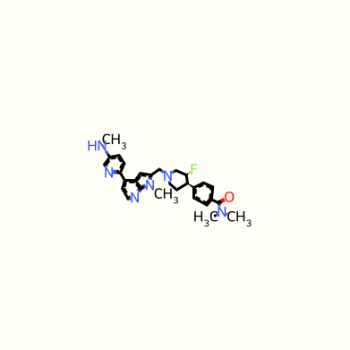 CNc1ccc(-c2ccnc3c2cc(CN2CC[C@H](c4ccc(C(=O)N(C)C)cc4)[C@H](F)C2)n3C)nc1